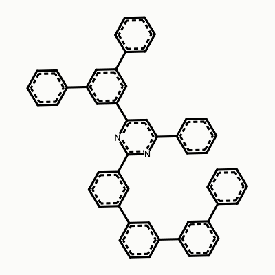 c1ccc(-c2cccc(-c3cccc(-c4cccc(-c5nc(-c6ccccc6)cc(-c6cc(-c7ccccc7)cc(-c7ccccc7)c6)n5)c4)c3)c2)cc1